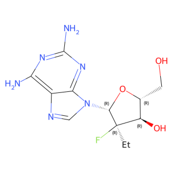 CC[C@@]1(F)[C@H](O)[C@@H](CO)O[C@H]1n1cnc2c(N)nc(N)nc21